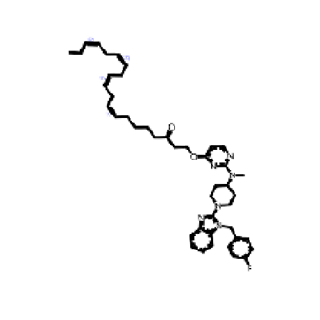 CC/C=C\C/C=C\C/C=C\C/C=C\CCCCC(=O)CCOc1ccnc(N(C)C2CCN(c3nc4ccccc4n3Cc3ccc(F)cc3)CC2)n1